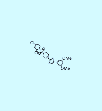 COc1cc(OC)cc(-c2csc(N3CCC(S(=O)(=O)c4ccc(Cl)cc4Cl)CC3)n2)c1